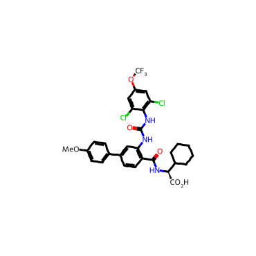 COc1ccc(-c2ccc(C(=O)N[C@H](C(=O)O)C3CCCCC3)c(NC(=O)Nc3c(Cl)cc(OC(F)(F)F)cc3Cl)c2)cc1